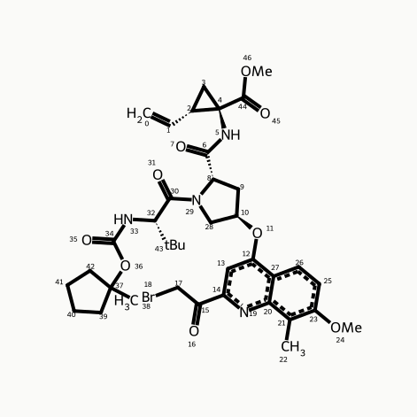 C=C[C@@H]1C[C@]1(NC(=O)[C@@H]1C[C@@H](Oc2cc(C(=O)CBr)nc3c(C)c(OC)ccc23)CN1C(=O)[C@@H](NC(=O)OC1(C)CCCC1)C(C)(C)C)C(=O)OC